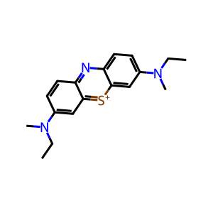 CCN(C)c1ccc2nc3ccc(N(C)CC)cc3[s+]c2c1